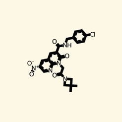 CC1(C)CN(C(=O)Cn2c(=O)c(C(=O)NCc3ccc(Cl)cc3)cc3cc([N+](=O)[O-])cnc32)C1